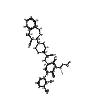 COC[C@H](C)n1c(=O)c(-c2cccc(O)c2Cl)cn(CC(=O)N2CCC(N3CCc4ccccc4NC3=O)CC2)c1=O